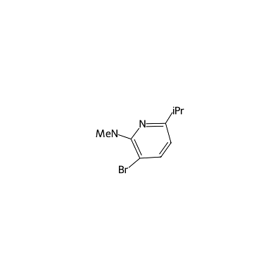 CNc1nc(C(C)C)ccc1Br